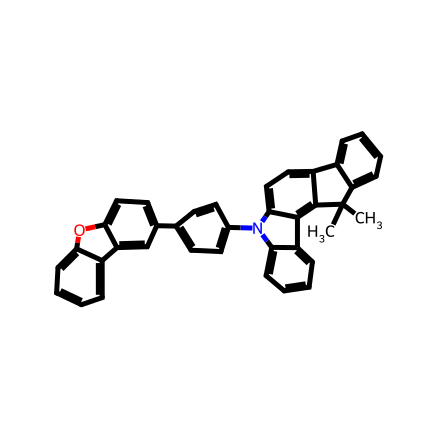 CC1(C)c2ccccc2-c2ccc3c(c21)c1ccccc1n3-c1ccc(-c2ccc3oc4ccccc4c3c2)cc1